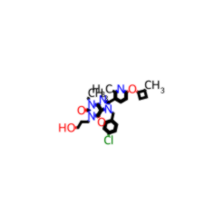 CCn1c(=O)n(CCCO)c(=O)c2c1nc(-c1ccc(OC3CCC3C)nc1C)n2Cc1ccc(Cl)cc1